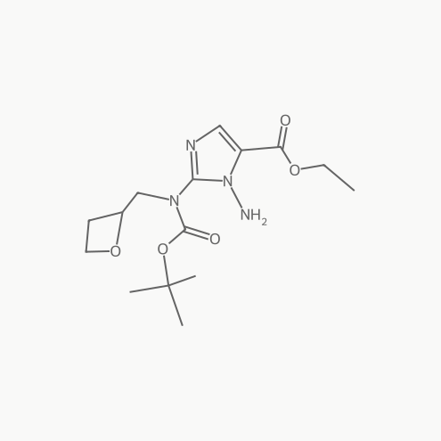 CCOC(=O)c1cnc(N(CC2CCO2)C(=O)OC(C)(C)C)n1N